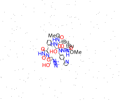 COC(=O)N[C@H](C(=O)N[C@@H](Cc1ccccc1)[C@@H](O)CN(Cc1ccc(-c2ccccn2)cc1)NC(=O)[C@@H](NC(=O)OC)C(C)(C)C)C(C)(C)C.Cc1cn([C@H]2C[C@H](N=[N+]=[N-])[C@@H](CO)O2)c(=O)[nH]c1=O